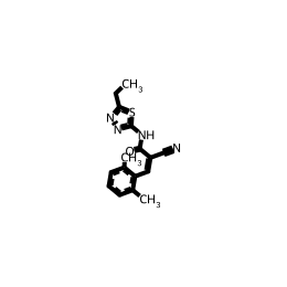 CCc1nnc(NC(=O)/C(C#N)=C\c2c(C)cccc2C)s1